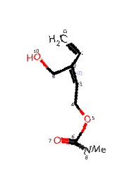 C=C/C(=C/COC(=O)NC)CO